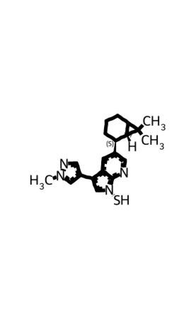 Cn1cc(-c2cn(S)c3ncc([C@H]4CCCC5[C@@H]4C5(C)C)cc23)cn1